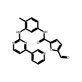 Cc1ccc(NC(=O)c2ccc(C=O)o2)cc1Nc1nccc(-c2cccnc2)n1